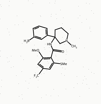 Bc1cccc(C2(NC(=O)c3c(OC)cc(C(F)(F)F)cc3SC)CCCN(C)C2)c1